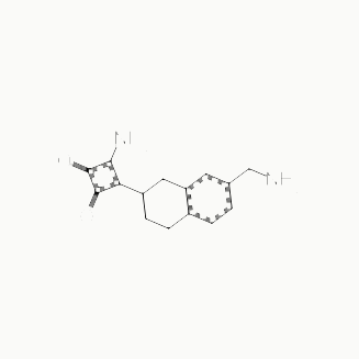 NCc1ccc2c(c1)CC(c1c(N)c(=O)c1=O)CC2